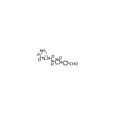 NCC1(C(=O)N2CCN(C(=O)Nc3ccn(-c4ccc(C=O)cc4)c(=O)n3)CC2)CC1